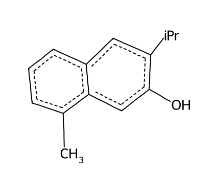 Cc1cccc2cc(C(C)C)c(O)cc12